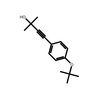 CC(C)(O)C#Cc1ccc(OC(C)(C)C)cc1